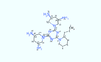 CCCC1CCCCN1c1nc(N2C[C@H](N)C[C@H](N)C2)nc(N2C[C@H](N)C[C@H](N)C2)n1